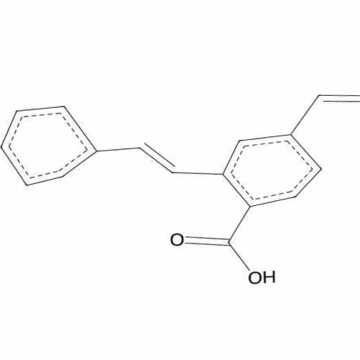 C=Cc1ccc(C(=O)O)c(C=Cc2ccccc2)c1